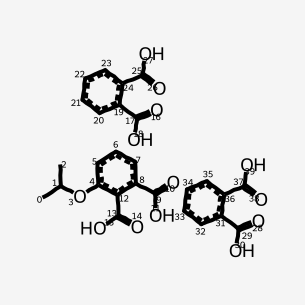 CC(C)Oc1cccc(C(=O)O)c1C(=O)O.O=C(O)c1ccccc1C(=O)O.O=C(O)c1ccccc1C(=O)O